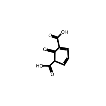 O=C(O)C1=CC=CC(C(=O)O)C1=O